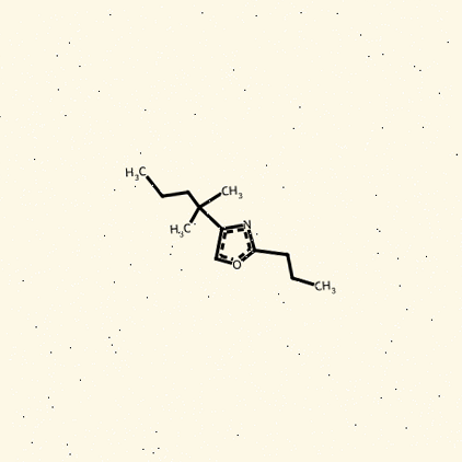 CCCc1nc(C(C)(C)CCC)co1